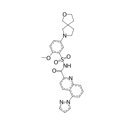 COc1ccc(N2CCC3(CCOC3)C2)cc1S(=O)(=O)NC(=O)c1ccc2c(-n3cccn3)cccc2n1